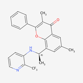 Cc1cc([C@@H](C)Nc2cccnc2C(F)(F)F)c2oc(-c3ccccc3)c(C)c(=O)c2c1